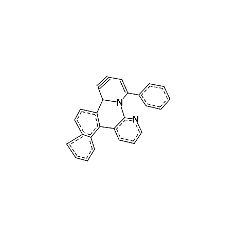 C1#CC2c3ccc4ccccc4c3-c3cccnc3N2C(c2ccccc2)=C1